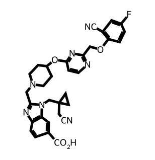 N#CCC1(Cn2c(CN3CCC(Oc4ccnc(COc5ccc(F)cc5C#N)n4)CC3)nc3ccc(C(=O)O)cc32)CC1